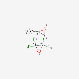 CC1CO1.FC1(F)OC1(F)F